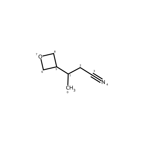 CC(CC#N)C1COC1